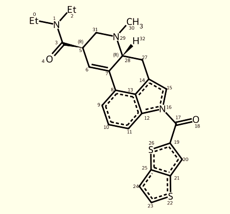 CCN(CC)C(=O)[C@@H]1C=C2c3cccc4c3c(cn4C(=O)c3cc4sccc4s3)C[C@H]2N(C)C1